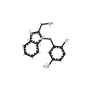 O=[N+]([O-])c1ccc(Cl)c(Cn2c(CO)nc3ccccc32)c1